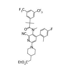 CCOC(=O)CC1CCN(c2cc(-c3ccc(F)cc3C)c(N(C)C(=O)C(C)(C)c3cc(C(F)(F)F)cc(C(F)(F)F)c3)c(C#N)n2)CC1